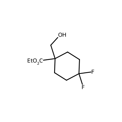 CCOC(=O)C1(CO)CCC(F)(F)CC1